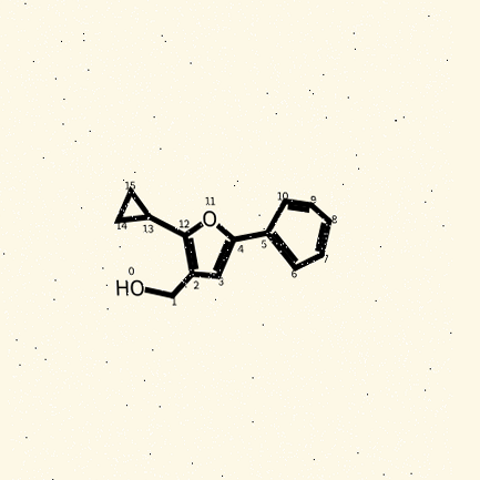 OCc1cc(-c2ccccc2)oc1C1CC1